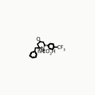 CCC[C@@]1(Cc2ccccc2)CC(=O)C[C@H](c2ccc(C(F)(F)F)cc2)N1C(=O)O